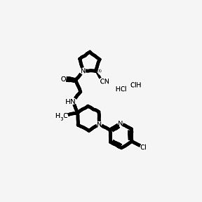 CC1(NCC(=O)N2CCC[C@H]2C#N)CCN(c2ccc(Cl)cn2)CC1.Cl.Cl